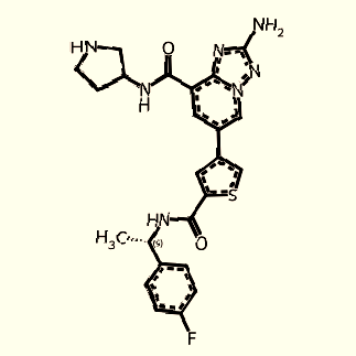 C[C@H](NC(=O)c1cc(-c2cc(C(=O)NC3CCNC3)c3nc(N)nn3c2)cs1)c1ccc(F)cc1